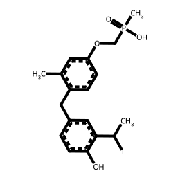 Cc1cc(OCP(C)(=O)O)ccc1Cc1ccc(O)c(C(C)I)c1